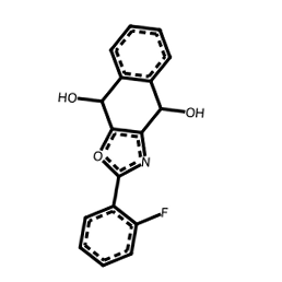 OC1c2ccccc2C(O)c2oc(-c3ccccc3F)nc21